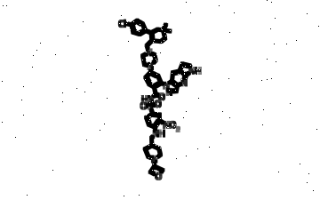 CC1(C)CCC(CN2CCN(c3ccc(C(=O)NS(=O)(=O)c4ccc(NCC5CCN(C6COC6)CC5)c([N+](=O)[O-])c4)c(-n4ncc5nc6[nH]ccc6cc54)c3)CC2)=C(c2ccc(Cl)cc2)C1